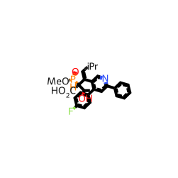 CO[PH](=O)C(C(=O)O)(C(=CC(C)C)c1cnc(-c2ccccc2)cc1-c1ccc(F)cc1)C(C)O